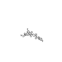 CN(C)CCCn1c(=O)n(C2CCC(NC(=O)c3cn4cc(F)ccc4n3)CC2)c(=O)c2cc(F)cnc21